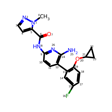 Cn1nccc1C(=O)Nc1ccc(-c2cc(F)ccc2OC2CC2)c(N)n1